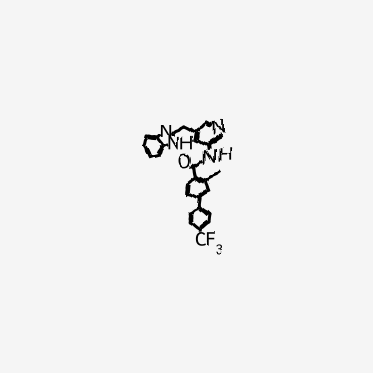 Cc1cc(-c2ccc(C(F)(F)F)cc2)ccc1C(=O)Nc1cncc(Cc2nc3ccccc3[nH]2)c1